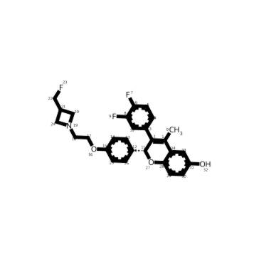 CC1=C(c2ccc(F)c(F)c2)[C@@H](c2ccc(OCCN3CC(CF)C3)cc2)Oc2ccc(O)cc21